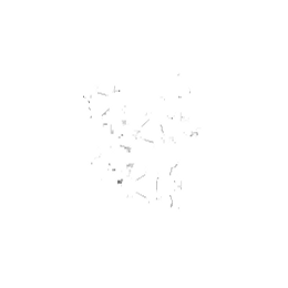 O=C1NC(=O)c2cc(S(=O)(=O)N3CCSC3C(=O)O[C@@H](Cc3c(Cl)cncc3Cl)c3ccc(OC(F)F)c(OCC4CC4)c3)ccc21